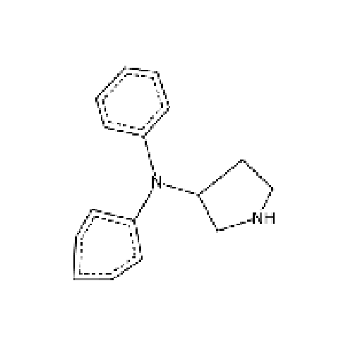 c1ccc(N(c2ccccc2)C2CCNC2)cc1